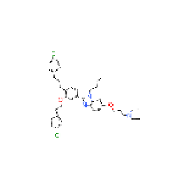 CCCCn1c(-c2ccc(CCCc3ccc(Cl)cc3)c(OCCc3ccc(Cl)cc3)c2)nc2ccc(OCCCN(CC)CC)cc21